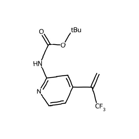 C=C(c1ccnc(NC(=O)OC(C)(C)C)c1)C(F)(F)F